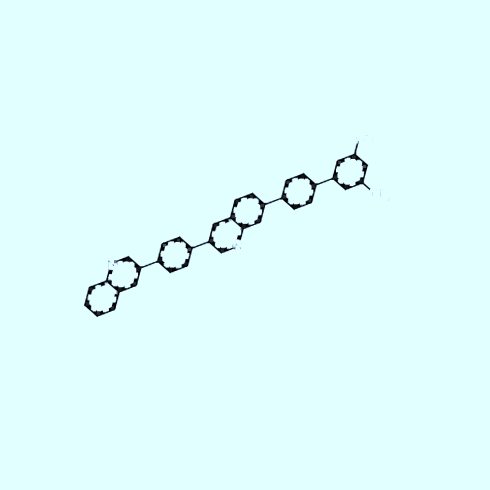 FC(F)(F)c1cc(-c2ccc(-c3ccc4cc(-c5ccc(-c6cnc7ccccc7c6)cc5)cnc4c3)cc2)cc(C(F)(F)F)c1